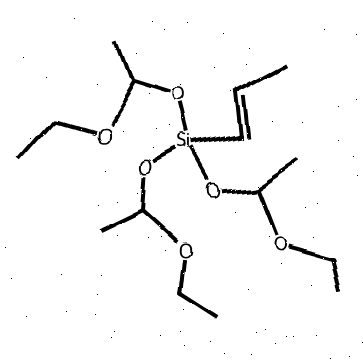 CC=C[Si](OC(C)OCC)(OC(C)OCC)OC(C)OCC